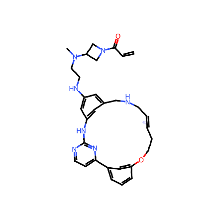 C=CC(=O)N1CC(N(C)CCNc2cc3cc(c2)Nc2nccc(n2)-c2cccc(c2)OCC/C=C/CNC3)C1